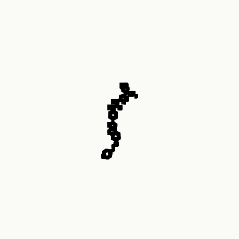 CC(CO)(CO)c1cc(NC(=O)Nc2ccc(C3CN4C(=N3)Sc3cc(OCCN5CCOCC5)ccc34)cc2)no1